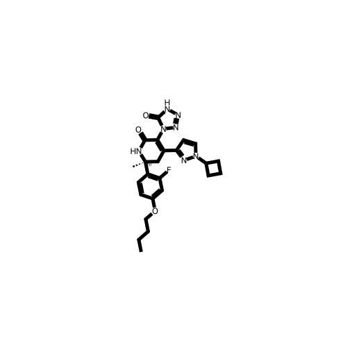 CCCCOc1ccc([C@]2(C)CC(c3ccn(C4CCC4)n3)=C(n3nn[nH]c3=O)C(=O)N2)c(F)c1